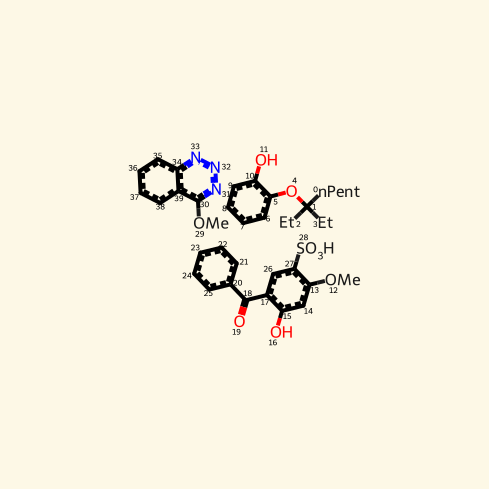 CCCCCC(CC)(CC)Oc1ccccc1O.COc1cc(O)c(C(=O)c2ccccc2)cc1S(=O)(=O)O.COc1nnnc2ccccc12